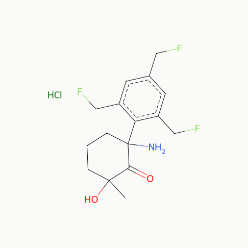 CC1(O)CCCC(N)(c2c(CF)cc(CF)cc2CF)C1=O.Cl